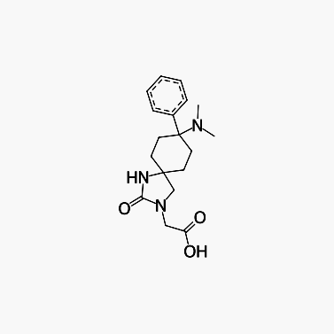 CN(C)C1(c2ccccc2)CCC2(CC1)CN(CC(=O)O)C(=O)N2